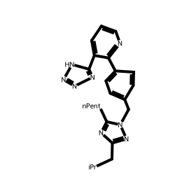 CCCCCc1nc(CC(C)C)nn1Cc1ccc(-c2ncccc2-c2nnn[nH]2)cc1